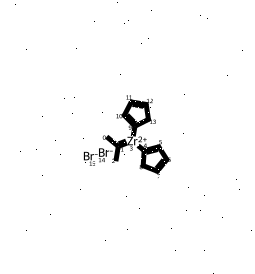 C[C](C)=[Zr+2]([C]1=CC=CC1)[C]1=CC=CC1.[Br-].[Br-]